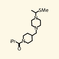 CSC(C)N1CCN(CC2CCN(C(=O)C(C)C)CC2)CC1